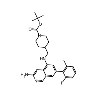 Cc1cccc(F)c1-c1cc(NCC2CCN(C(=O)OC(C)(C)C)CC2)c2cc(N)ncc2c1